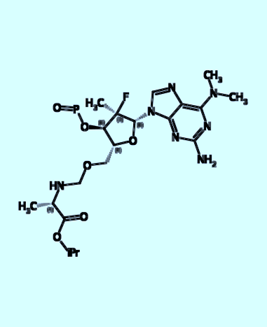 CC(C)OC(=O)[C@H](C)NCOC[C@H]1O[C@@H](n2cnc3c(N(C)C)nc(N)nc32)[C@](C)(F)[C@@H]1OP=O